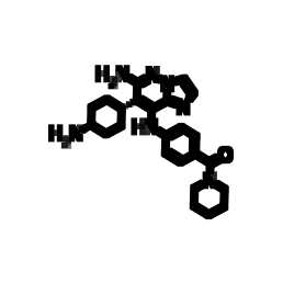 Nc1nn2ccnc2c(Nc2ccc(C(=O)N3CCCCC3)cc2)c1[C@H]1CC[C@H](N)CC1